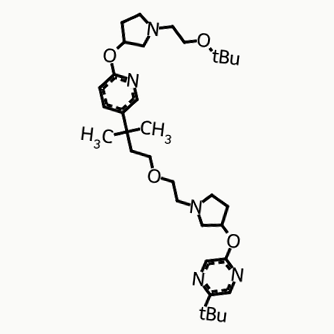 CC(C)(C)OCCN1CCC(Oc2ccc(C(C)(C)CCOCCN3CCC(Oc4cnc(C(C)(C)C)cn4)C3)cn2)C1